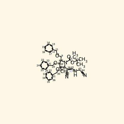 CC(C)(C)OC(=O)N1[C@H](COCc2ccccc2)[C@@H](OCc2ccccc2)[C@@](C)(OCc2ccccc2)[C@@H]1/C(C#N)=C/NCC#N